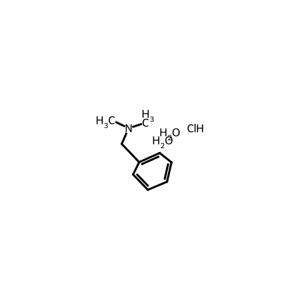 CN(C)Cc1ccccc1.Cl.O.O